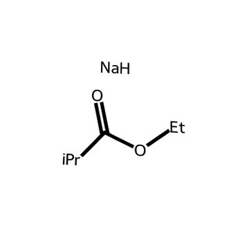 CCOC(=O)C(C)C.[NaH]